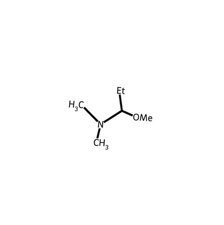 [C]OC(CC)N(C)C